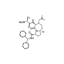 CC[C@H](NC)C(=O)N[C@@H]1C(=O)N2[C@@H](CCC1CN(C)C)CC[C@H]2C(=O)NC(c1ccccc1)c1ccccc1